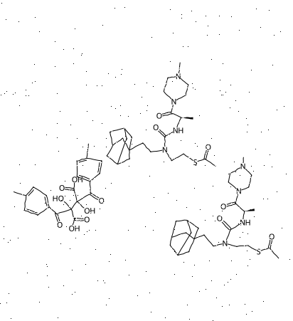 CC(=O)SCCN(CCC12CC3CC(CC(C3)C1)C2)C(=O)N[C@H](C)C(=O)N1CCN(C)CC1.CC(=O)SCCN(CCC12CC3CC(CC(C3)C1)C2)C(=O)N[C@H](C)C(=O)N1CCN(C)CC1.Cc1ccc(C(=O)C(O)(C(=O)O)C(O)(C(=O)O)C(=O)c2ccc(C)cc2)cc1